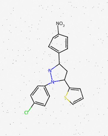 O=[N+]([O-])c1ccc(C2CC(c3cccs3)N(c3ccc(Cl)cc3)[N]2)cc1